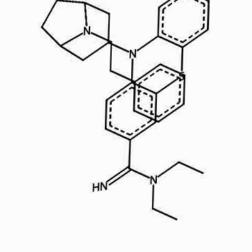 CCN(CC)C(=N)c1ccc2c(c1)Sc1ccccc1N2C1CC2CCC(C1)N2CCc1ccccc1